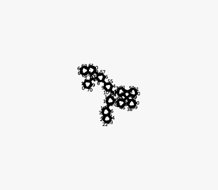 c1ccc(-n2c3cc(-c4ccc(N(c5ccc(-c6ccc7ccccc7c6)cc5)c5ccc6c(c5)C(c5ccccc5)(c5ccccc5)c5ccccc5-6)cc4)ccc3c3ccc4ccccc4c32)cc1